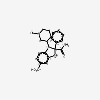 CCN1CCCC(N2c3ccc(C(=O)O)cc3NC2(C(N)=O)c2ccccc2)C1